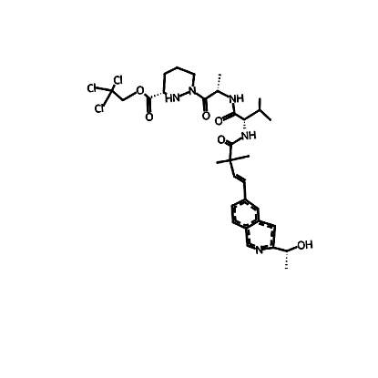 CC(C)[C@H](NC(=O)C(C)(C)/C=C/c1ccc2cnc([C@@H](C)O)cc2c1)C(=O)N[C@@H](C)C(=O)N1CCC[C@@H](C(=O)OCC(Cl)(Cl)Cl)N1